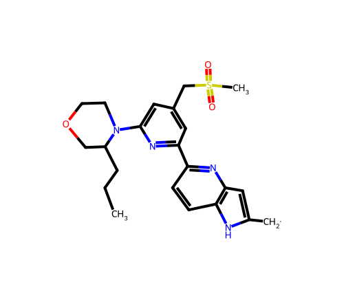 [CH2]c1cc2nc(-c3cc(CS(C)(=O)=O)cc(N4CCOCC4CCC)n3)ccc2[nH]1